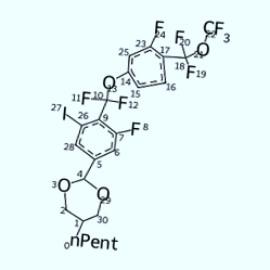 CCCCCC1COC(c2cc(F)c(C(F)(F)Oc3ccc(C(F)(F)OC(F)(F)F)c(F)c3)c(I)c2)OC1